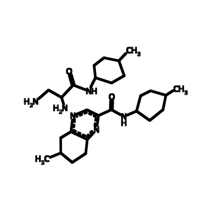 CC1CCC(NC(=O)C(N)CN)CC1.CC1CCC(NC(=O)c2cnc3c(n2)CCC(C)C3)CC1